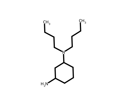 CCCCN(CCCC)C1CCCC(N)C1